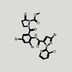 COC(=O)N1C(=O)CCN1C(=O)c1cc(Br)cc(Br)c1NC(=O)c1cc(Br)nn1-c1ncccc1Cl